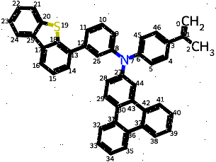 C=C(C)c1ccc(N(c2cccc(-c3cccc4c3sc3ccccc34)c2)c2ccc3c4ccccc4c4ccccc4c3c2)cc1